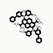 Cc1cccc(N(c2cc(-c3ccccc3)ccc2C)c2cc(C(C)C)c3ccc4c(N(c5cccc(C)c5)c5cc(-c6ccccc6)ccc5C)cc(C(C)C)c5ccc2c3c54)c1